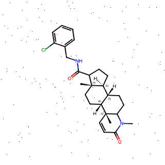 CN1C(=O)C=C[C@@]2(C)C1CC[C@@H]1[C@H]2CC[C@]2(C)C(C(=O)NCc3ccccc3Cl)CC[C@@H]12